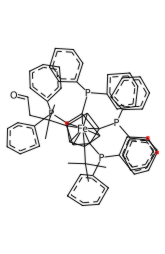 CC(C)(C)[C]12[CH]3[C]4(P(c5ccccc5)c5ccccc5)[C]5(P(c6ccccc6)c6ccccc6)[CH]1[Fe]32451678[CH]2[C]1(C(C)(C)CC=O)[CH]6[C]7(P(c1ccccc1)c1ccccc1)[C]28P(c1ccccc1)c1ccccc1